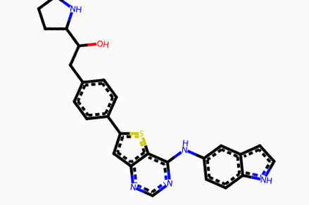 OC(Cc1ccc(-c2cc3ncnc(Nc4ccc5[nH]ccc5c4)c3s2)cc1)C1CCCN1